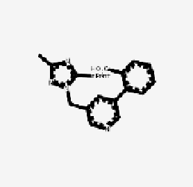 CCCCCc1nc(C)nn1Cc1cncc(-c2ccccc2C(=O)O)c1